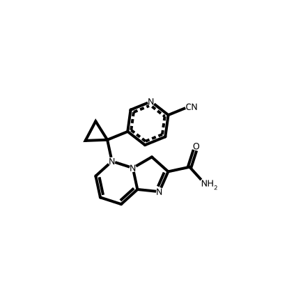 N#Cc1ccc(C2(N3C=CC=C4N=C(C(N)=O)CN43)CC2)cn1